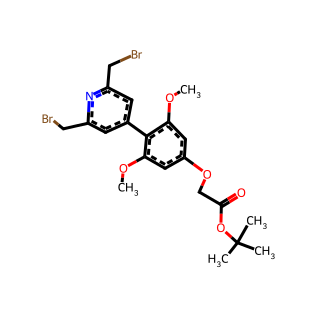 COc1cc(OCC(=O)OC(C)(C)C)cc(OC)c1-c1cc(CBr)nc(CBr)c1